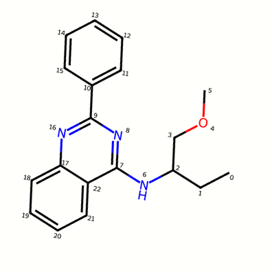 CCC(COC)Nc1nc(-c2ccccc2)nc2ccccc12